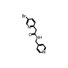 O=C(Cc1ccc(Br)cn1)NCc1ccncc1